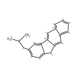 CC(C)Cc1ccc2sc3cc4ccccc4cc3c2c1